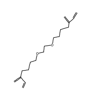 C=CC(=C)CCCCOCCOCCCCC(=C)C=C